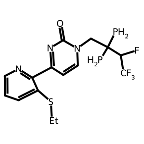 CCSc1cccnc1-c1ccn(CC(P)(P)C(F)C(F)(F)F)c(=O)n1